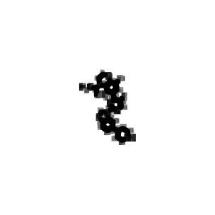 CC(C)N1CCOc2c(F)cc(-c3nc(N4CSc5ccc(C6=CCNCC6)cc54)ncc3F)cc21